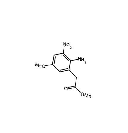 COC(=O)Cc1cc(OC)cc([N+](=O)[O-])c1N